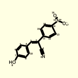 N#CC(=Cc1ccc(O)cc1)c1ccc([N+](=O)[O-])cc1